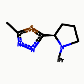 Cc1nnc([C@H]2CCCN2C(C)C)s1